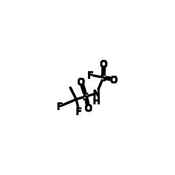 CC(F)(F)S(=O)(=O)NS(=O)(=O)F